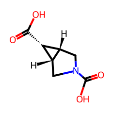 O=C(O)[C@@H]1[C@@H]2CN(C(=O)O)C[C@@H]21